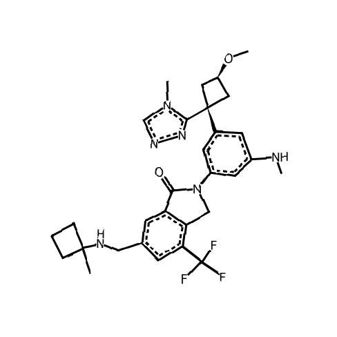 CNc1cc(N2Cc3c(cc(CNC4(C)CCC4)cc3C(F)(F)F)C2=O)cc([C@]2(c3nncn3C)C[C@H](OC)C2)c1